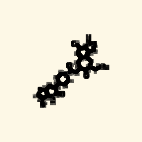 CC(C)(C)CN1Cc2c(cc(Cl)c3[nH]ncc23)CC(CC(=O)N2CCC(c3cc4scc(Br)c4[nH]c3=O)CC2)C1=O